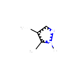 CCn1n[c]c(OC)c1C#N